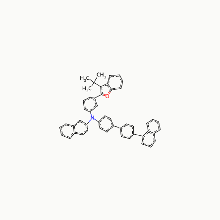 CC(C)(C)c1c(-c2cccc(N(c3ccc(-c4ccc(-c5cccc6ccccc56)cc4)cc3)c3ccc4ccccc4c3)c2)oc2ccccc12